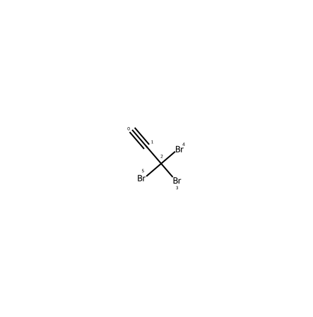 C#CC(Br)(Br)Br